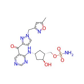 Cc1cc(Cn2ccc(C(=O)c3cncnc3N[C@@H]3C[C@H](COS(N)(=O)=O)[C@@H](O)C3)n2)no1